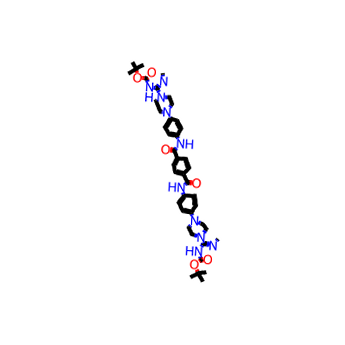 C/N=C(/NC(=O)OC(C)(C)C)N1CCN(c2ccc(NC(=O)c3ccc(C(=O)Nc4ccc(N5CCN(/C(=N/C)NC(=O)OC(C)(C)C)CC5)cc4)cc3)cc2)CC1